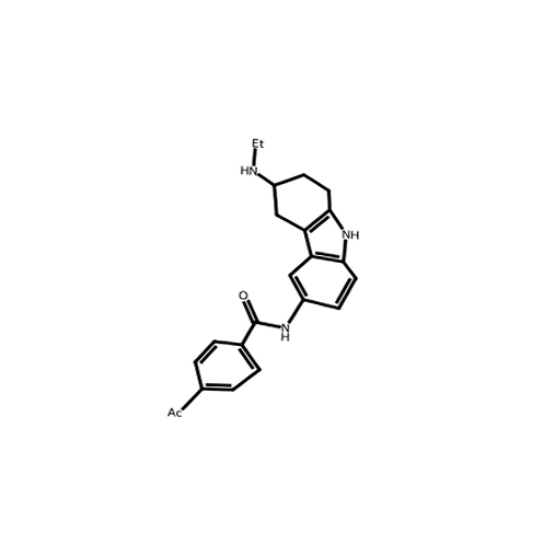 CCNC1CCc2[nH]c3ccc(NC(=O)c4ccc(C(C)=O)cc4)cc3c2C1